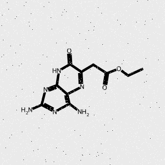 CCOC(=O)Cc1nc2c(N)nc(N)nc2[nH]c1=O